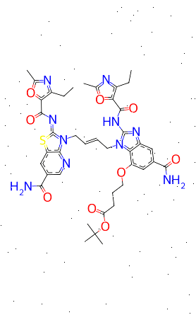 CCc1nc(C)oc1C(=O)/N=c1\sc2cc(C(N)=O)cnc2n1C/C=C/Cn1c(NC(=O)c2oc(C)nc2CC)nc2cc(C(N)=O)cc(OCCCC(=O)OC(C)(C)C)c21